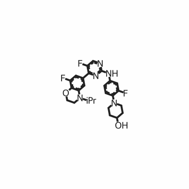 CC(C)N1CCOc2c(F)cc(-c3nc(Nc4ccc(N5CCC(O)CC5)c(F)c4)ncc3F)cc21